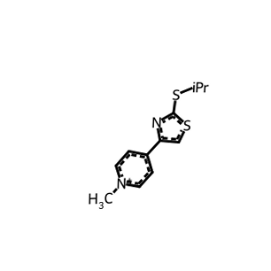 CC(C)Sc1nc(-c2cc[n+](C)cc2)cs1